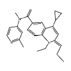 C=C(c1ccc2c(c1)C(C1CC1)=C/C(=C/CC)N2CC)N(C)c1ccnc(C)c1